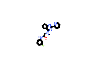 CN(CC(=O)Nc1cccc(F)c1)c1nc(-c2ccccn2)nc2c1CCC2